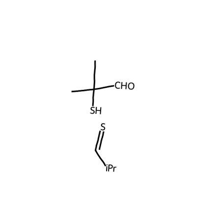 CC(C)(S)C=O.CC(C)C=S